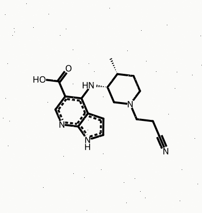 C[C@@H]1CCN(CCC#N)C[C@@H]1Nc1c(C(=O)O)cnc2[nH]ccc12